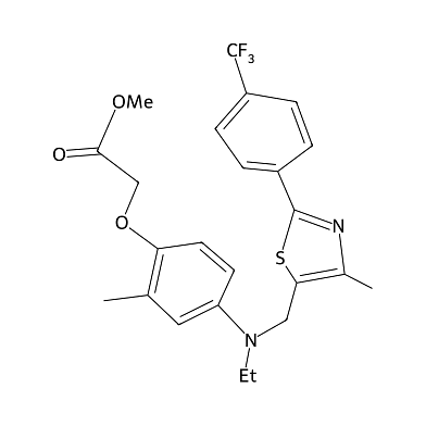 CCN(Cc1sc(-c2ccc(C(F)(F)F)cc2)nc1C)c1ccc(OCC(=O)OC)c(C)c1